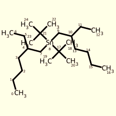 CCCCC(CC)[CH2][Sn]([CH2]C(CC)CCCC)([C](C)(C)C)[C](C)(C)C